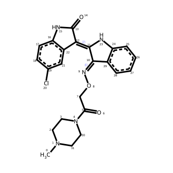 CN1CCN(C(=O)CO/N=C2/C(=C3/C(=O)Nc4ccc(Cl)cc43)Nc3ccccc32)CC1